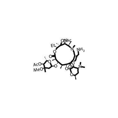 CC[C@H]1OC(=O)[C@H](C)[C@@H](O[C@H]2C[C@@](C)(OC)[C@@H](OC(C)=O)[C@H](C)O2)[C@H](C)[C@@H](O[C@@H]2O[C@H](C)C[C@H](N(C)C)[C@H]2OCCCN)[C@](C)(O)C[C@@H](C)CN(C)[C@H](C)[C@@H](OC(C)=O)[C@]1(C)O